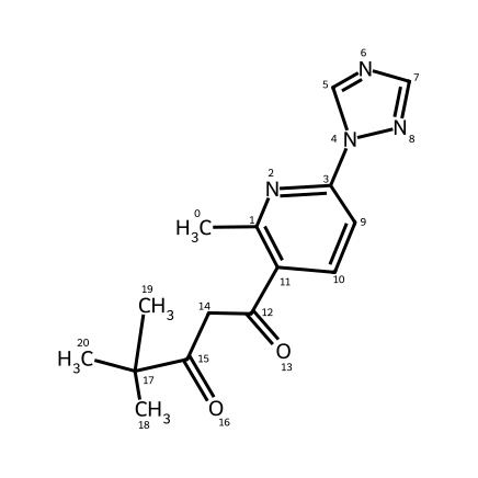 Cc1nc(-n2cncn2)ccc1C(=O)CC(=O)C(C)(C)C